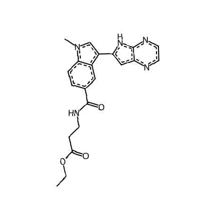 CCOC(=O)CCNC(=O)c1ccc2c(c1)c(-c1cc3nccnc3[nH]1)cn2C